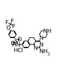 Cl.Nc1nc2c(c(N3CCNCC3)n1)CCc1cc(NS(=O)(=O)c3ccc(OC(F)(F)F)cc3)ccc1-2